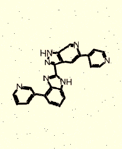 c1cncc(-c2cccc3[nH]c(-c4n[nH]c5cnc(-c6ccncc6)cc45)nc23)c1